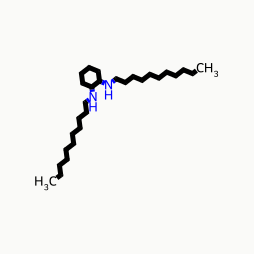 CCCCCCCCCCCNC1CCCCC1NCCCCCCCCCCC